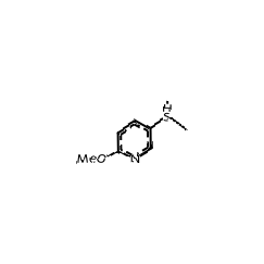 COc1ccc([SH](C)C)cn1